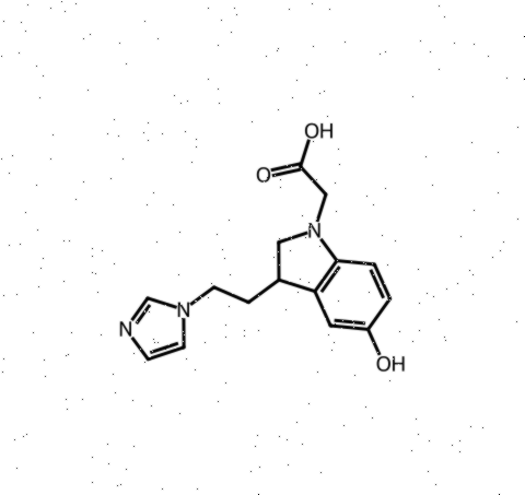 O=C(O)CN1CC(CCn2ccnc2)c2cc(O)ccc21